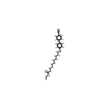 CCOC(=O)CCCCCCCCCCOc1ccc(-c2ccc(C#N)cc2)cc1